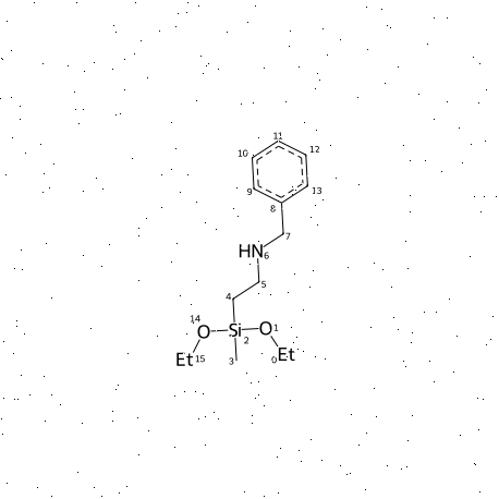 CCO[Si](C)(CCNCc1ccccc1)OCC